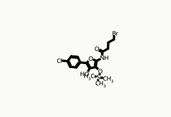 C[Si](C)(C)Oc1c(NC(=O)CCCBr)oc(-c2ccc(Cl)cc2)c1O